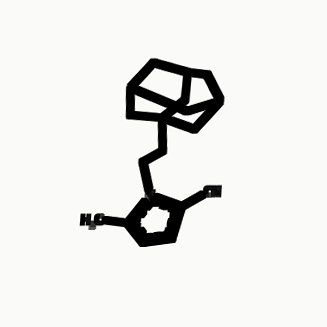 Cc1ccc(C#N)n1CCC12CC3CC(CC(C3)C1)C2